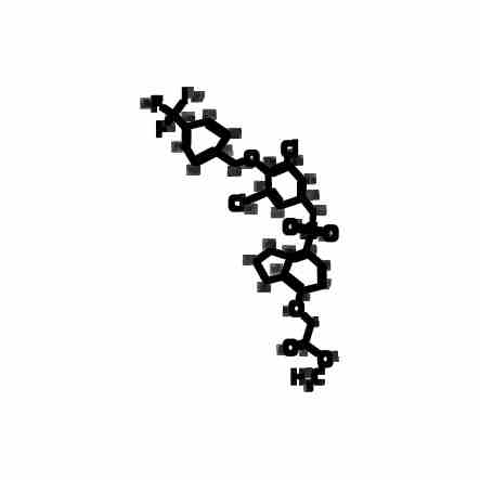 COC(=O)COc1ccc(S(=O)(=O)Cc2cc(Cl)c(OCc3ccc(C(F)(F)F)cc3)c(Cl)c2)c2c1CCC2